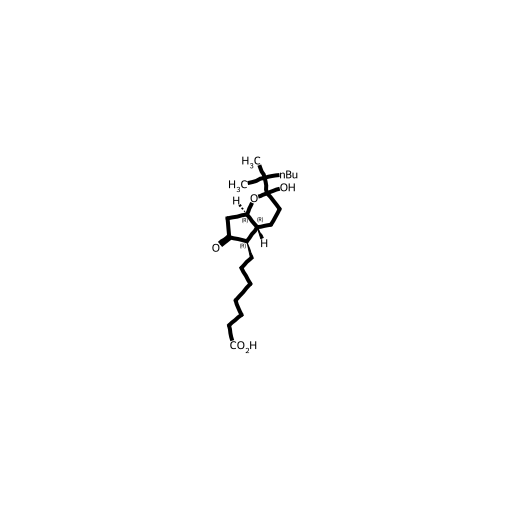 CCCCC(C)(C)C1(O)CC[C@H]2[C@@H](CC(=O)[C@@H]2CCCCCCC(=O)O)O1